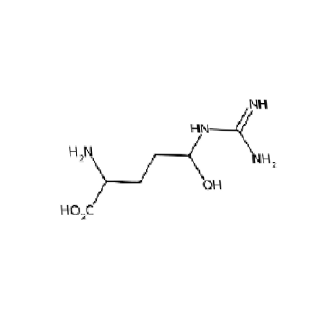 N=C(N)NC(O)CCC(N)C(=O)O